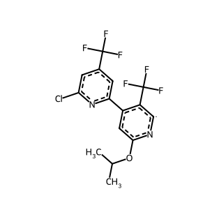 CC(C)Oc1cc(-c2cc(C(F)(F)F)cc(Cl)n2)c(C(F)(F)F)[c]n1